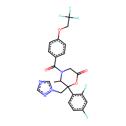 CC1N(C(=O)c2ccc(OCC(F)(F)F)cc2)CC(=O)OC1(Cn1cncn1)c1ccc(F)cc1F